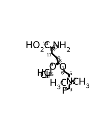 C[N+](C)(CF)CCOC(=O)CC[C@H](N)C(=O)O.Cl.[Cl-]